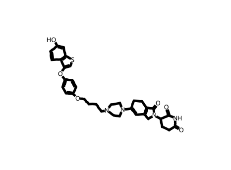 O=C1CCC(N2CC3=C(CCC(N4CCN(CCCCOc5ccc(Oc6csc7cc(O)ccc67)cc5)CC4)=C3)C2=O)C(=O)N1